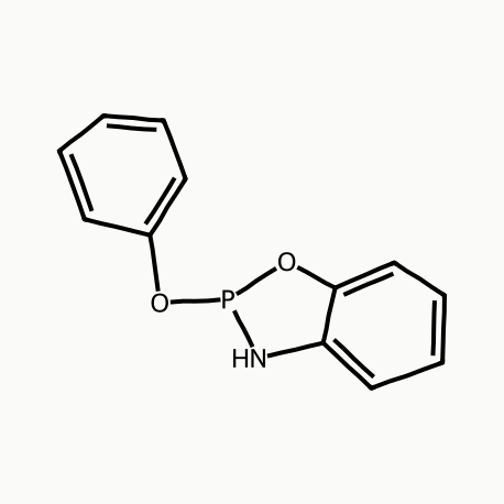 c1ccc(OP2Nc3ccccc3O2)cc1